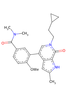 COc1ccc(C(=O)N(C)C)cc1-c1cn(CCC2CC2)c(=O)c2[nH]c(C)cc12